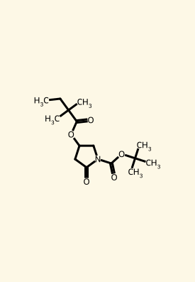 CCC(C)(C)C(=O)OC1CC(=O)N(C(=O)OC(C)(C)C)C1